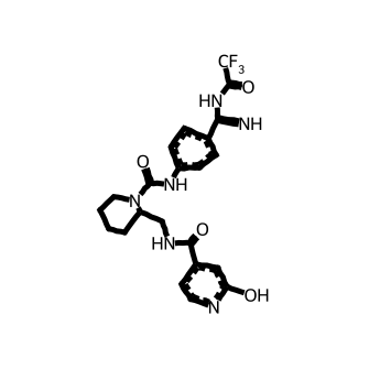 N=C(NC(=O)C(F)(F)F)c1ccc(NC(=O)N2CCCCC2CNC(=O)c2ccnc(O)c2)cc1